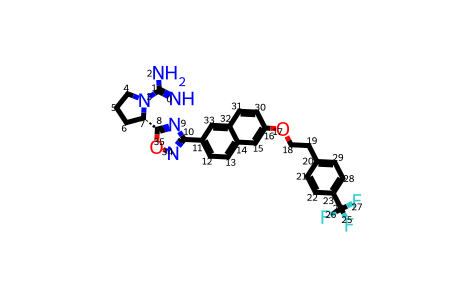 N=C(N)N1CCC[C@H]1c1nc(-c2ccc3cc(OCCc4ccc(C(F)(F)F)cc4)ccc3c2)no1